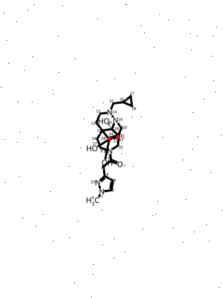 Cn1ccc(CC(=O)N2CCC34CCN(CC5CC5)N(Cc5ccc(O)c(O)c53)[C@@]4(O)CC2)n1